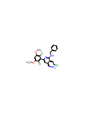 COc1cc(OC)c(Cl)c(-c2cc(=C/N)/c(=C\CCl)c(NCc3ccccc3)n2)c1Cl